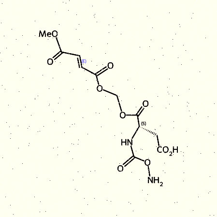 COC(=O)/C=C/C(=O)OCOC(=O)[C@H](CC(=O)O)NC(=O)ON